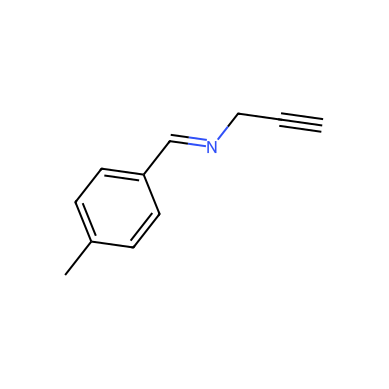 C#CCN=Cc1ccc(C)cc1